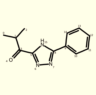 CC(C)C(=O)c1nnc(-c2ccccc2)[nH]1